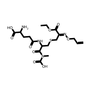 C=CCON=C(CSCC(NC(=O)CCC(N)C(=O)O)C(=O)N(C)C(=O)O)C(=O)OCC